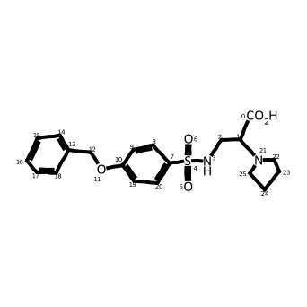 O=C(O)C(CNS(=O)(=O)c1ccc(OCc2ccccc2)cc1)N1CCCC1